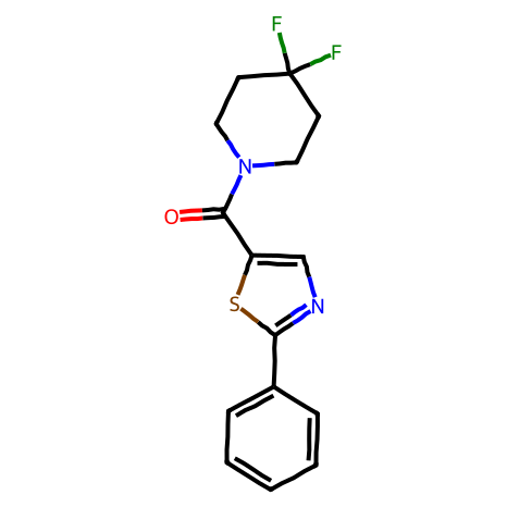 O=C(c1cnc(-c2ccccc2)s1)N1CCC(F)(F)CC1